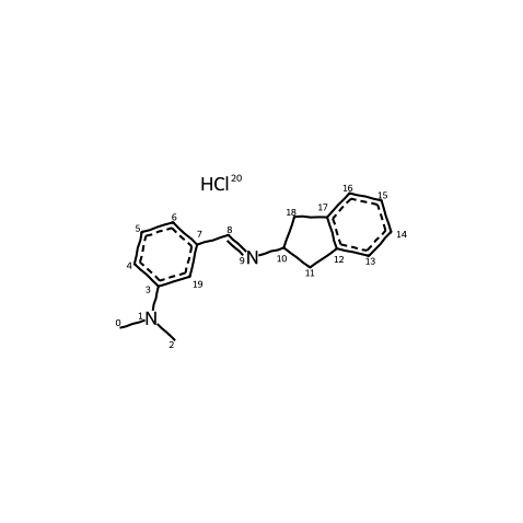 CN(C)c1cccc(C=NC2Cc3ccccc3C2)c1.Cl